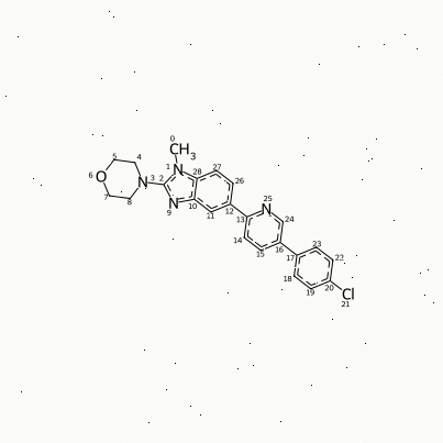 Cn1c(N2CCOCC2)nc2cc(-c3ccc(-c4ccc(Cl)cc4)cn3)ccc21